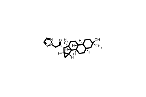 C[C@@]1(O)CC[C@H]2[C@H](CC[C@@H]3[C@@H]2CC[C@@]2(C)[C@H]3[C@@H]3C[C@@H]3[C@@H]2C(=O)Cn2nccn2)C1